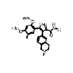 CCCCOc1cc(OCCCC)c(-c2onc(C(=O)NCC)c2-c2ccc3c(c2)CCN(C)C3)cc1C